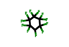 F[C]1C(F)(F)C(F)(F)C(F)(F)C(F)(F)C1(F)F